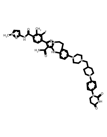 Cc1c(C(=O)Nc2ccn(C)n2)ccc(-c2nn3c(c2C(N)=O)Nc2ccc(N4CCN(CC5CCN(c6ccc(N7CCC(=O)NC7=O)cc6)CC5)CC4)cc2CC3)c1F